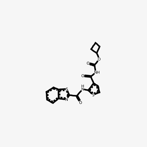 O=C(NC(=O)c1ccsc1NC(=O)c1nc2ccccc2s1)OC1CCC1